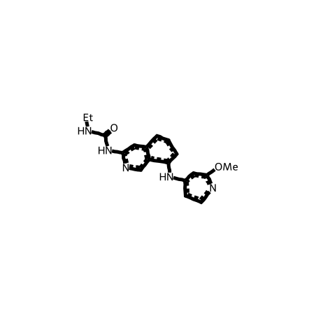 CCNC(=O)Nc1cc2cccc(Nc3ccnc(OC)c3)c2cn1